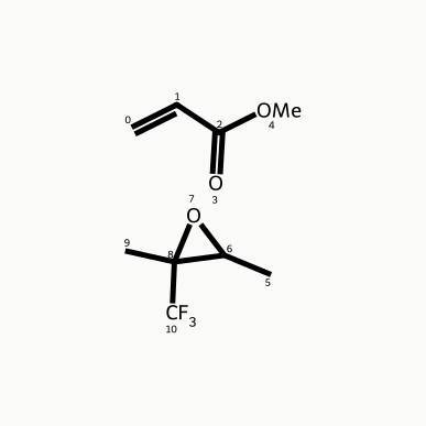 C=CC(=O)OC.CC1OC1(C)C(F)(F)F